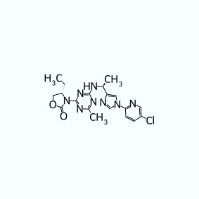 CC[C@H]1COC(=O)N1c1nc(C)nc(N[C@@H](C)c2cn(-c3ccc(Cl)cn3)cn2)n1